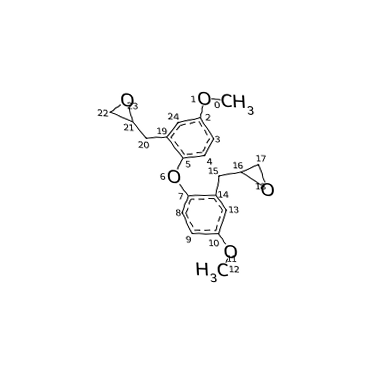 COc1ccc(Oc2ccc(OC)cc2CC2CO2)c(CC2CO2)c1